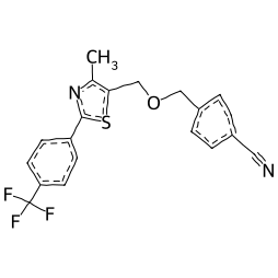 Cc1nc(-c2ccc(C(F)(F)F)cc2)sc1COCc1ccc(C#N)cc1